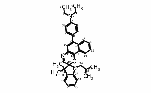 CCN(CC)c1ccc(-c2cc3c(c4ccccc24)OC2(C=N3)N(CC(C)C)c3ccccc3C2(C)C)cc1